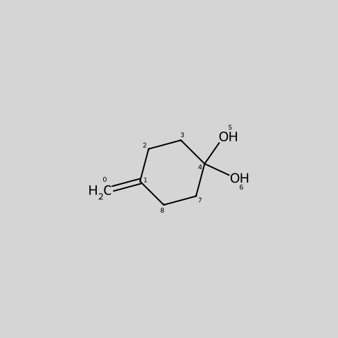 C=C1CCC(O)(O)CC1